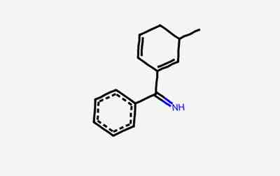 CC1C=C(C(=N)c2ccccc2)C=CC1